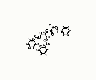 C[C@H](OCc1ccccc1)C(=O)OC(COCc1ccccc1)COCc1ccccc1